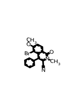 COc1ccc2c(=O)n(C)c(C#N)c(-c3ccccc3)c2c1Br